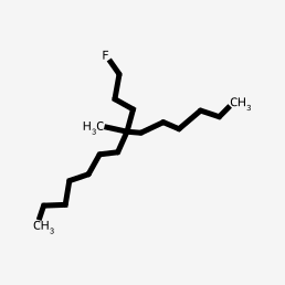 CCCCCCCC(C)(CCCF)CCCCCC